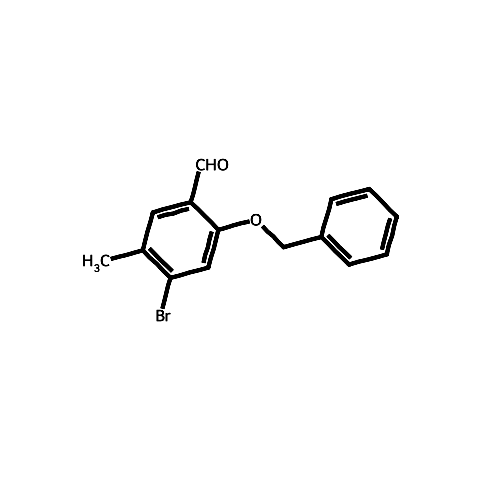 Cc1cc(C=O)c(OCc2ccccc2)cc1Br